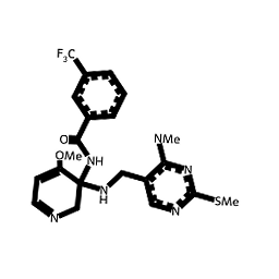 CNc1nc(SC)ncc1CNC1(NC(=O)c2cccc(C(F)(F)F)c2)CN=CC=C1OC